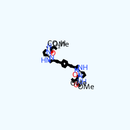 COC(=O)N[C@H](C(=O)N1CCC[C@H]1c1nc(C#Cc2ccc(C#Cc3c[nH]c([C@@H]4CCCN4C(=O)[C@H]([C@@H](C)OC)N(C)C(=O)O)n3)cc2)c[nH]1)C(C)OC